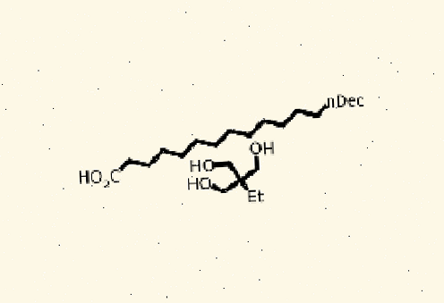 CCC(CO)(CO)CO.CCCCCCCCCCCCCCCCCCCCCCC(=O)O